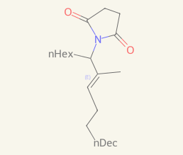 CCCCCCCCCCCC/C=C(\C)C(CCCCCC)N1C(=O)CCC1=O